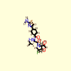 CC(C)C[C@H](NC(=O)c1ccc(-c2csc(N(C)C)n2)cc1)C(=O)N1C[C@H](F)[C@H]2OCC(=O)[C@H]21